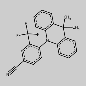 CC1(C)c2ccccc2N(c2ccc(C#N)cc2C(F)(F)F)c2ccccc21